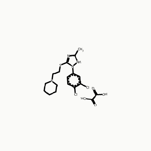 CC1N=C(SCCN2CCCCC2)N(c2ccc(Cl)c(Cl)c2)N1.O=C(O)C(=O)O